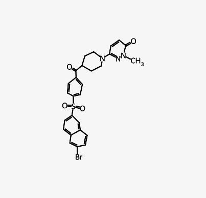 Cn1nc(N2CCC(C(=O)c3ccc(S(=O)(=O)c4ccc5cc(Br)ccc5c4)cc3)CC2)ccc1=O